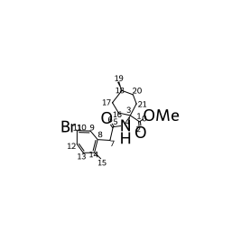 COC(=O)[C@]1(NC(=O)Cc2cc(Br)ccc2C)CC[C@@H](C)CC1